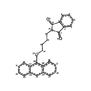 O=C1c2ccccc2C(=O)N1CCCCOc1c2ccccc2cc2ccccc12